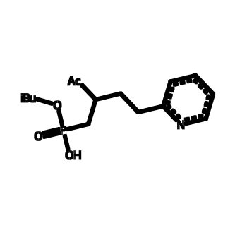 CCC(C)OP(=O)(O)CC(CCc1ccccn1)C(C)=O